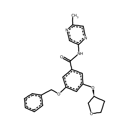 Cc1cnc(NC(=O)c2cc(OCc3ccccc3)cc(O[C@H]3CCOC3)c2)cn1